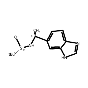 C[C@H](N[S@@+]([O-])C(C)(C)C)c1ccc2nc[nH]c2c1